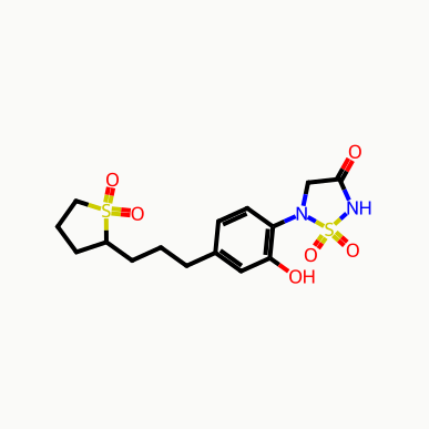 O=C1CN(c2ccc(CCCC3CCCS3(=O)=O)cc2O)S(=O)(=O)N1